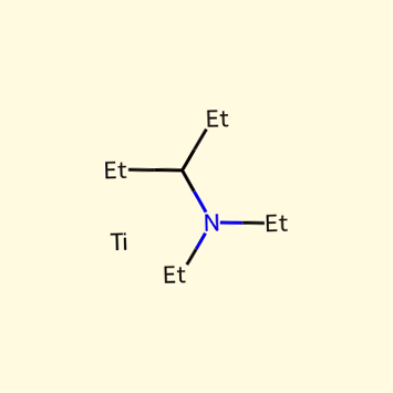 CCC(CC)N(CC)CC.[Ti]